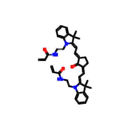 C=CC(=O)NCCN1C(=CC=C2CCC(=CC=C3N(CCNC(=O)C=C)c4ccccc4C3(C)C)C2=O)C(C)(C)c2ccccc21